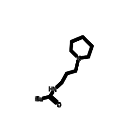 CCC(C)C(=O)NCCCN1CCCCC1